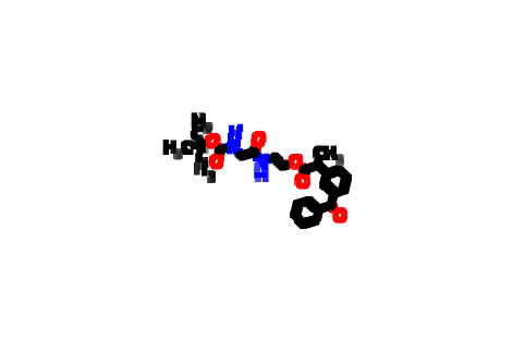 CC(C(=O)OCCNC(=O)CNC(=O)OC(C)(C)C)c1cccc(C(=O)c2ccccc2)c1